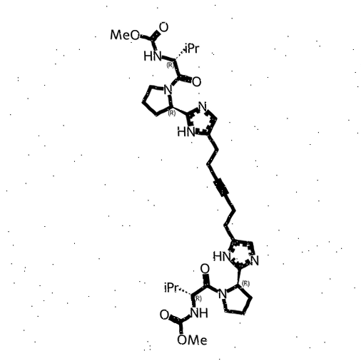 COC(=O)N[C@@H](C(=O)N1CCC[C@@H]1c1ncc(CCC#CCCc2cnc([C@H]3CCCN3C(=O)[C@H](NC(=O)OC)C(C)C)[nH]2)[nH]1)C(C)C